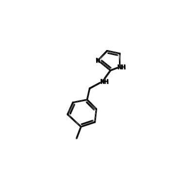 Cc1ccc(CNc2ncc[nH]2)cc1